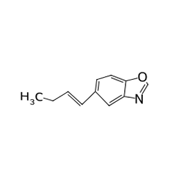 CCC=Cc1ccc2ocnc2c1